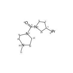 CC(C)C1CCN(C(=O)N2CCN(C)CC2)C1